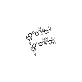 N#Cc1cnc2ccc(Oc3cccc(NC(=O)Nc4ccc(Cl)c(C(F)(F)F)c4)c3)cc2n1.N#Cc1cnc2ccc(Oc3cccc(NC(=O)Nc4cccc(C(F)(F)F)c4)c3)cc2n1